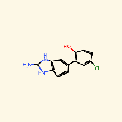 NC1Nc2ccc(-c3cc(Cl)ccc3O)cc2N1